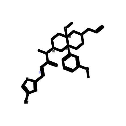 C=CCN1CC[C@@]2(c3cccc(OC)c3)C[C@@H](N(C)C(=O)/C=C/c3cc(Br)cs3)CC[C@]2(OC)C1